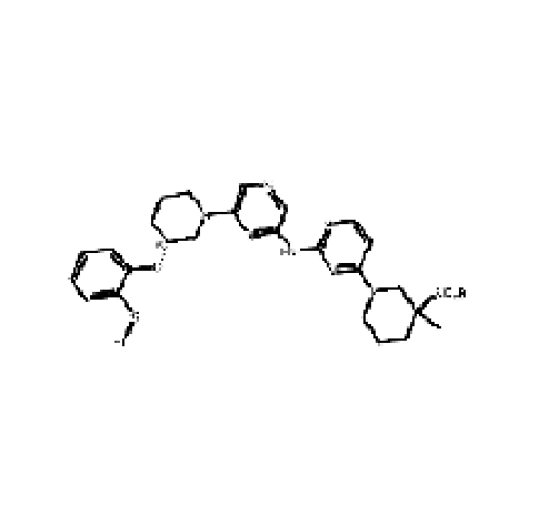 CCOC(=O)C1(C)CCCN(c2ccnc(Nc3cncc(N4CCC[C@@H](Oc5ccccc5OCC)C4)n3)n2)C1